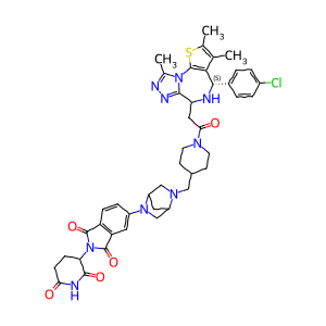 Cc1sc2c(c1C)[C@H](c1ccc(Cl)cc1)NC(CC(=O)N1CCC(CN3CC4CC3CN4c3ccc4c(c3)C(=O)N(C3CCC(=O)NC3=O)C4=O)CC1)c1nnc(C)n1-2